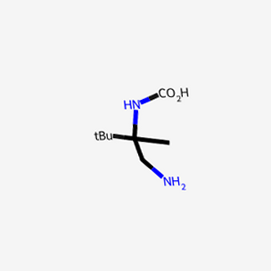 CC(C)(C)C(C)(CN)NC(=O)O